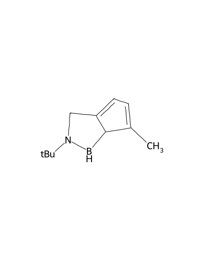 CC1=CC=C2CN(C(C)(C)C)BC12